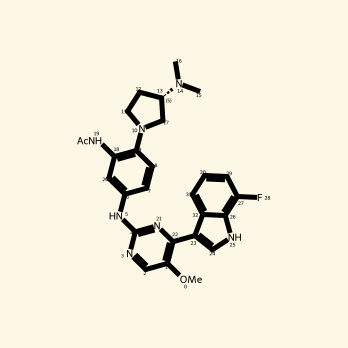 COc1cnc(Nc2ccc(N3CC[C@H](N(C)C)C3)c(NC(C)=O)c2)nc1-c1c[nH]c2c(F)cccc12